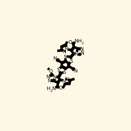 COc1nnc2c(C(N)=O)c(-n3nc(C)cc3C)c(=C3Sc4c(C#N)c5c(c(C#N)c4S3)SC(=c3c(-n4nc(C)cc4C)c(C(N)=O)c4nncn34)S5)n12